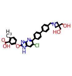 Cc1ccc(Oc2nc3nc(-c4ccc(-c5ccc(CN6CC(CO)(CO)C6)cc5)cc4)c(Cl)cc3[nH]2)cc1C(=O)O